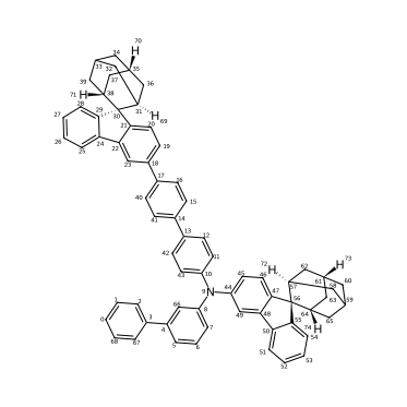 c1ccc(-c2cccc(N(c3ccc(-c4ccc(-c5ccc6c(c5)-c5ccccc5[C@]65[C@H]6CC7C[C@H](C6)C[C@H]5C7)cc4)cc3)c3ccc4c(c3)-c3ccccc3[C@]43[C@@H]4CC5C[C@@H](C4)C[C@@H]3C5)c2)cc1